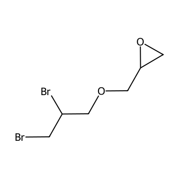 BrCC(Br)COCC1CO1